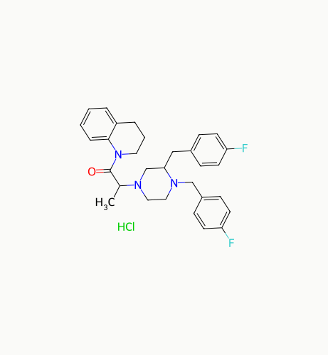 CC(C(=O)N1CCCc2ccccc21)N1CCN(Cc2ccc(F)cc2)C(Cc2ccc(F)cc2)C1.Cl